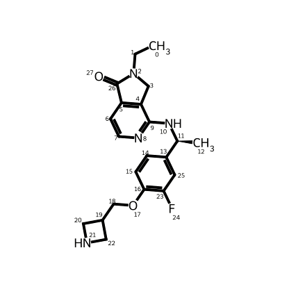 CCN1Cc2c(ccnc2N[C@@H](C)c2ccc(OCC3CNC3)c(F)c2)C1=O